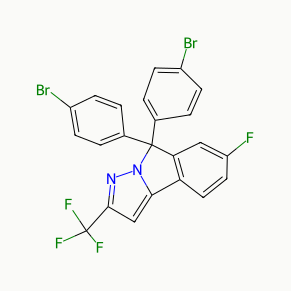 Fc1ccc2c(c1)C(c1ccc(Br)cc1)(c1ccc(Br)cc1)n1nc(C(F)(F)F)cc1-2